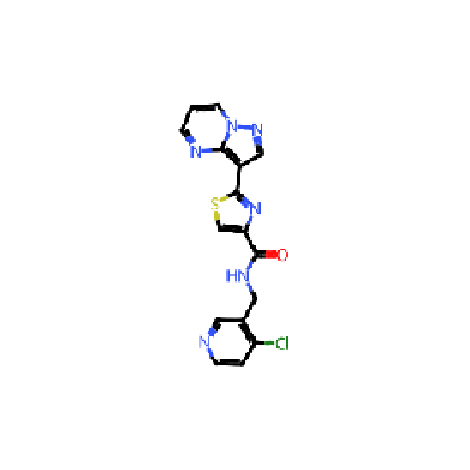 O=C(NCc1cnccc1Cl)c1csc(-c2cnn3cccnc23)n1